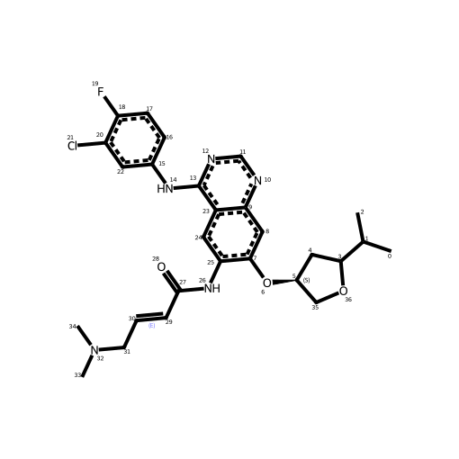 CC(C)C1C[C@H](Oc2cc3ncnc(Nc4ccc(F)c(Cl)c4)c3cc2NC(=O)/C=C/CN(C)C)CO1